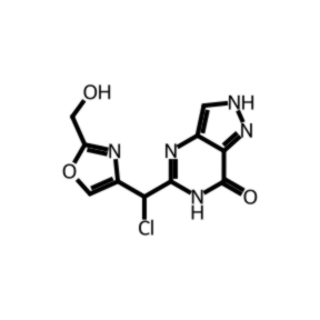 O=c1[nH]c(C(Cl)c2coc(CO)n2)nc2c[nH]nc12